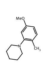 COc1ccc(C)c(N2CCCCC2)c1